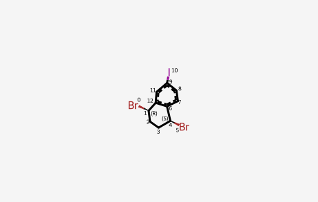 Br[C@@H]1CC[C@H](Br)c2ccc(I)cc21